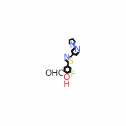 O=Cc1cc(-c2cnc(-c3ccnc(N4CCCC4)c3)s2)cc(F)c1O